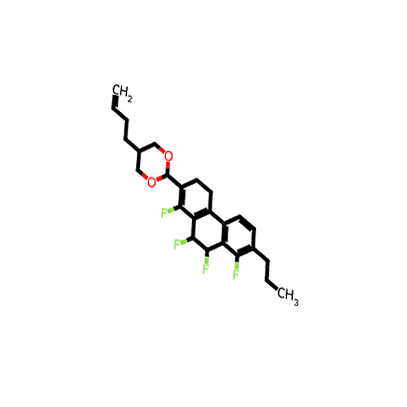 C=CCCC1COC(C2=C(F)C3=C(CC2)c2ccc(CCC)c(F)c2C(F)C3F)OC1